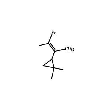 CCC(C)=C(C=O)C1CC1(C)C